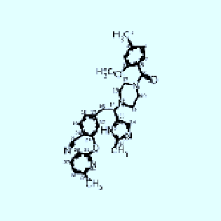 COc1cc(C)ccc1C(=O)N1CCN(C(Cc2ccc(C#N)c(Oc3cccc(C)n3)c2)c2cnc(C)[nH]2)CC1